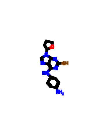 Nc1ccc(Nc2nc(S)nc3c2ncn3C2CCCO2)cc1